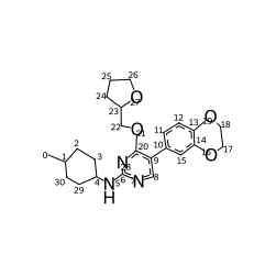 CC1CCC(Nc2ncc(-c3ccc4c(c3)OCCO4)c(OCC3CCCO3)n2)CC1